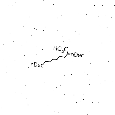 CCCCCCCCCCCCCCCC[C@H](CCCCCCCCCC)C(=O)O